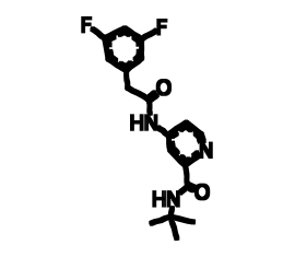 CC(C)(C)NC(=O)c1cc(NC(=O)Cc2cc(F)cc(F)c2)ccn1